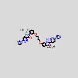 O=C(Nc1cc(OCCCCOc2ccc(C(=O)O)c(NC(=O)c3ccc(-n4ccnc4)nn3)c2)ccc1C(=O)O)c1ccc(-n2ccnc2)nn1